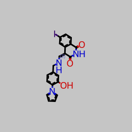 O=C1NC(=O)c2ccc(I)cc2/C1=C/NCc1ccc(-n2cccc2)c(O)c1